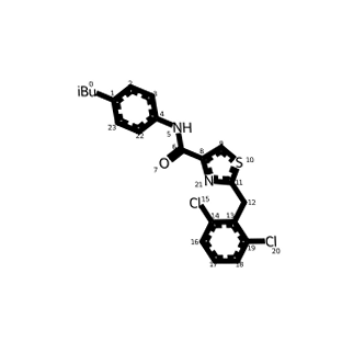 CCC(C)c1ccc(NC(=O)c2csc(Cc3c(Cl)cccc3Cl)n2)cc1